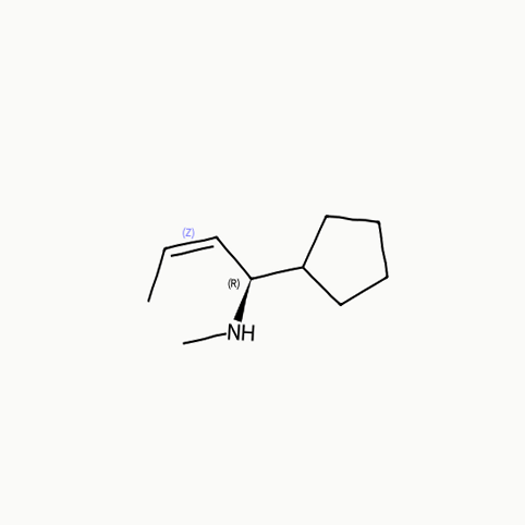 C/C=C\[C@H](NC)C1CCCC1